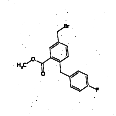 COC(=O)c1cc(CBr)ccc1Cc1ccc(F)cc1